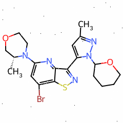 Cc1cc(-c2nsc3c(Br)cc(N4CCOC[C@H]4C)nc23)n(C2CCCCO2)n1